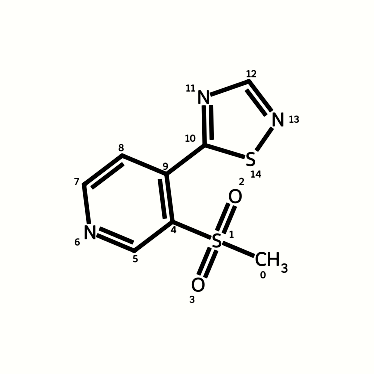 CS(=O)(=O)c1cnccc1-c1ncns1